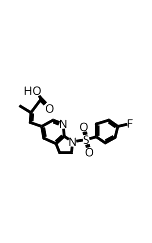 CC(=Cc1cnc2c(c1)CCN2S(=O)(=O)c1ccc(F)cc1)C(=O)O